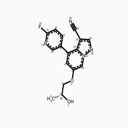 C[C@@H](O)COc1cc(-c2ccc(F)nc2)c2c(C#N)cnn2c1